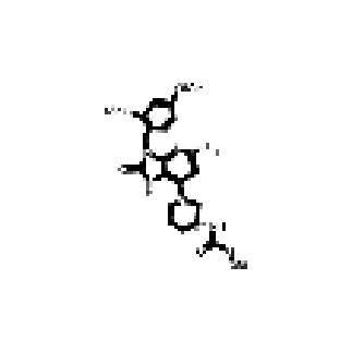 COc1ccc(Cn2c(=O)[nH]c3c(N4CCC[C@@H](NC(=O)OC(C)(C)C)C4)cc(C)nc32)c(OC)c1